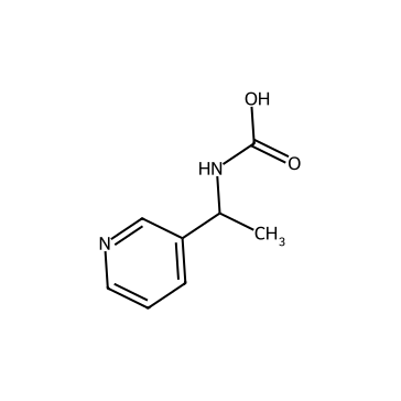 CC(NC(=O)O)c1cccnc1